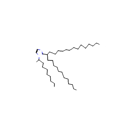 CCCCCCCCCCCCCCC(CCCCCCCCCCCC)c1[nH]cc[n+]1C(C)CCCCCCCC